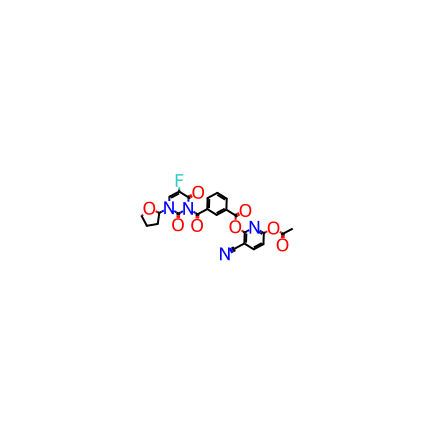 CC(=O)Oc1ccc(C#N)c(OC(=O)c2cccc(C(=O)n3c(=O)c(F)cn(C4CCCO4)c3=O)c2)n1